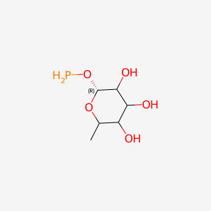 CC1O[C@H](OP)C(O)C(O)C1O